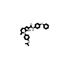 C=C1C=Cc2cc(C(=O)Nc3ccc(Oc4ccccc4)cc3)[nH]c2N1c1ccc(OC(C)C)cc1